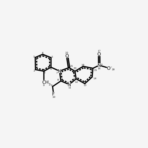 Cc1ccccc1-n1c(CF)nc2ccc([N+](=O)[O-])cc2c1=O